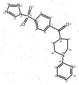 O=C(c1ccc(S(=O)(=O)n2cncn2)cc1)N1CCN(c2ccccn2)CC1